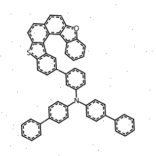 c1ccc(-c2ccc(N(c3ccc(-c4ccccc4)cc3)c3cccc(-c4ccc5sc6ccc7ccc8oc9ccccc9c8c7c6c5c4)c3)cc2)cc1